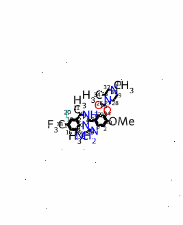 COc1cc2nc(C)nc(N[C@H](C)c3cc(N)cc(C(F)(F)F)c3F)c2cc1OC(=O)N1CCN(C)C[C@@H]1C